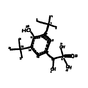 CC(C)(C)c1cc(C(O)P(=O)(O)O)cc(C(C)(C)C)c1O